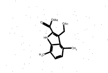 COC(=O)c1[nH]c2c(C)ccc(C)c2c1COC(C)=O